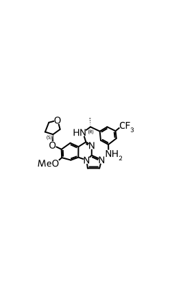 COc1cc2c(cc1O[C@H]1CCOC1)c(N[C@H](C)c1cc(N)cc(C(F)(F)F)c1)nc1nccn12